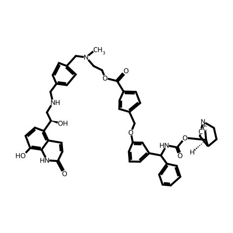 CN(CCOC(=O)c1ccc(COc2cccc(C(NC(=O)O[C@H]3CN4CCC3CC4)c3ccccc3)c2)cc1)Cc1ccc(CNC[C@@H](O)c2ccc(O)c3[nH]c(=O)ccc23)cc1